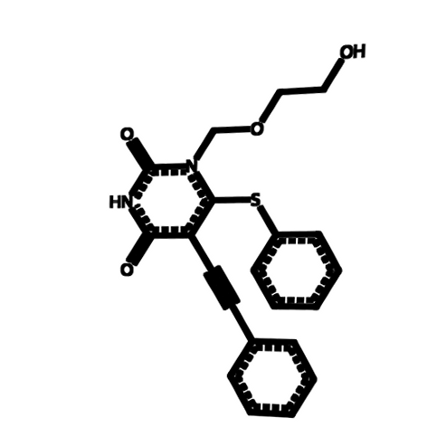 O=c1[nH]c(=O)n(COCCO)c(Sc2ccccc2)c1C#Cc1ccccc1